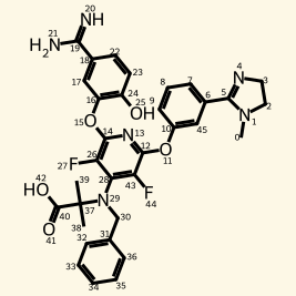 CN1CCN=C1c1cccc(Oc2nc(Oc3cc(C(=N)N)ccc3O)c(F)c(N(Cc3ccccc3)C(C)(C)C(=O)O)c2F)c1